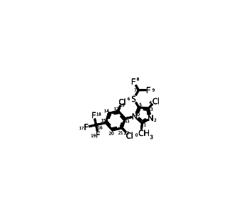 Cc1nc(Cl)c(SC(F)F)n1-c1c(Cl)cc(C(F)(F)F)cc1Cl